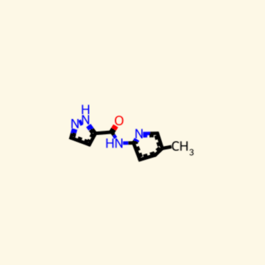 Cc1ccc(NC(=O)c2ccn[nH]2)nc1